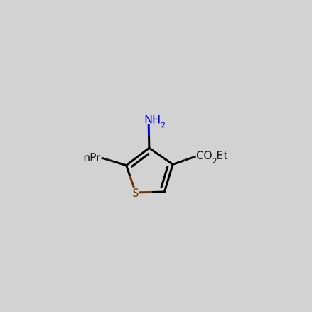 CCCc1scc(C(=O)OCC)c1N